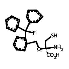 N[C@](CS)(OCc1ccccc1C(F)(c1ccccc1)c1ccccc1)C(=O)O